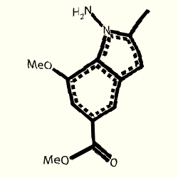 COC(=O)c1cc(OC)c2c(c1)cc(C)n2N